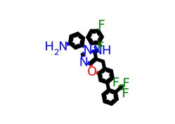 N=C1C2=C(N=C[N+]1(c1cccc(N)c1)c1ccc(F)cc1F)Oc1cc(-c3ccccc3C(F)(F)F)ccc1C2